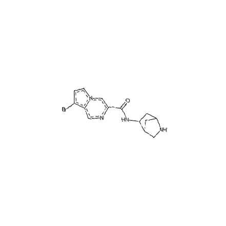 O=C(NC1CC2CC1CN2)c1cn2ccc(Br)c2cn1